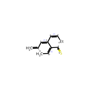 C=C/C=C(/C=C\CC)C(\C=S)=C/C